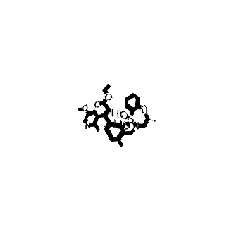 CCOC(=O)CC(c1ccc(C)c(CN2C[C@@H](C)Oc3ccccc3S2(O)O)c1)c1cc(OC)cnc1C